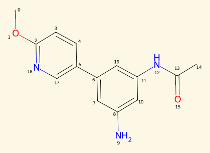 COc1ccc(-c2cc(N)cc(NC(C)=O)c2)cn1